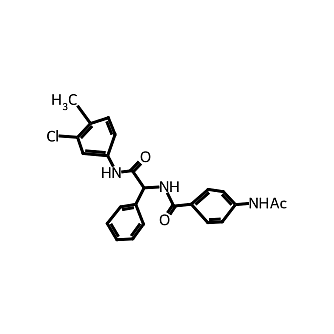 CC(=O)Nc1ccc(C(=O)NC(C(=O)Nc2ccc(C)c(Cl)c2)c2ccccc2)cc1